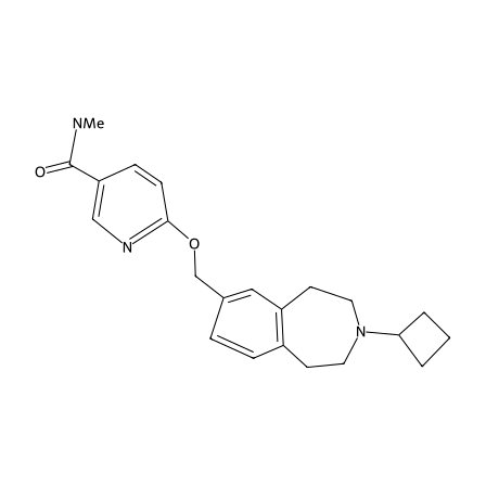 CNC(=O)c1ccc(OCc2ccc3c(c2)CCN(C2CCC2)CC3)nc1